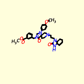 COC(=O)c1cccc(CN2CN(c3ccc(OC)cc3)C3(CCN(CCCn4c5c([nH]c4=O)C=CCC5)CC3)C2=O)c1